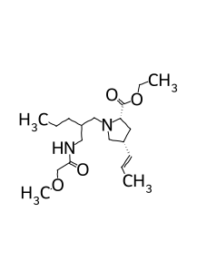 CC=C[C@H]1C[C@@H](C(=O)OCC)N(CC(CCC)CNC(=O)COC)C1